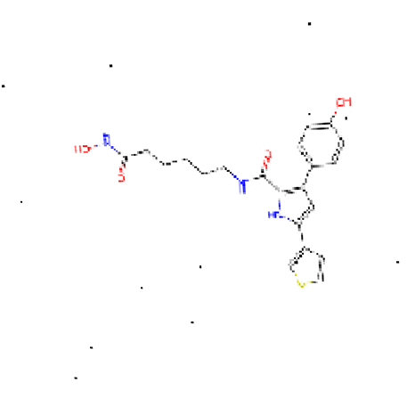 O=C(CCCCCNC(=O)c1[nH]c(-c2ccsc2)cc1-c1ccc(O)cc1)NO